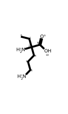 CCC(N)(CCCN)C(=O)O